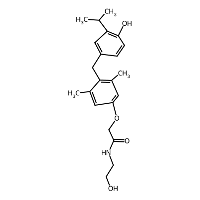 Cc1cc(OCC(=O)NCCO)cc(C)c1Cc1ccc(O)c(C(C)C)c1